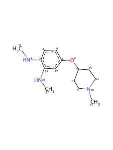 CNc1ccc(OC2CCN(C)CC2)cc1NC